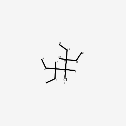 CCC(C)(CC)C(C)(Cl)C(C)(CC)CC